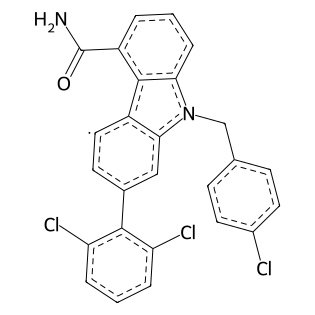 NC(=O)c1cccc2c1c1[c]cc(-c3c(Cl)cccc3Cl)cc1n2Cc1ccc(Cl)cc1